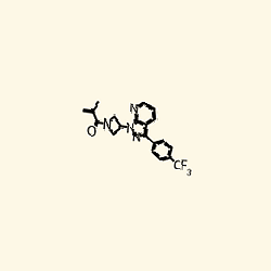 C=C(C)C(=O)N1CC(n2nc(-c3ccc(C(F)(F)F)cc3)c3cccnc32)C1